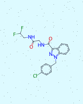 O=C(CNC(=O)c1nn(Cc2ccc(Cl)cc2)c2ccccc12)NCC(F)F